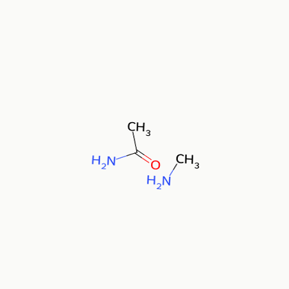 CC(N)=O.CN